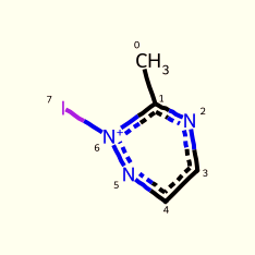 Cc1nccn[n+]1I